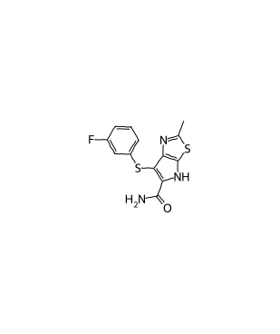 Cc1nc2c(Sc3cccc(F)c3)c(C(N)=O)[nH]c2s1